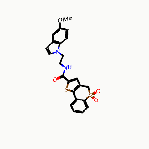 COc1ccc2c(ccn2CCNC(=O)c2cc3c(s2)-c2ccccc2S(=O)(=O)C3)c1